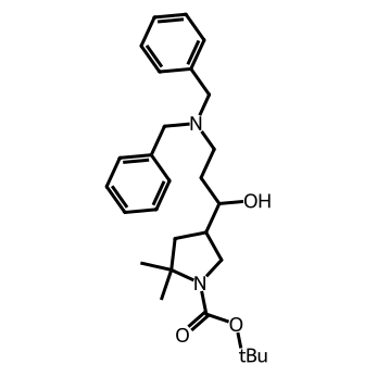 CC(C)(C)OC(=O)N1CC(C(O)CCN(Cc2ccccc2)Cc2ccccc2)CC1(C)C